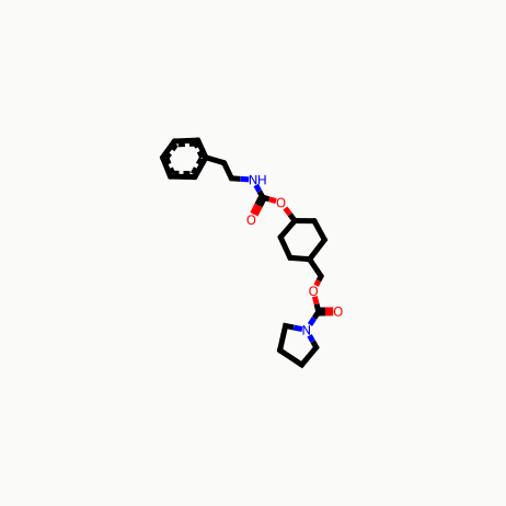 O=C(NCCc1ccccc1)OC1CCC(COC(=O)N2CCCC2)CC1